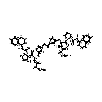 CN[C@@H](C)C(=O)N[C@@H](Cc1cn(CCn2cc(C[C@H](NC(=O)[C@H](C)NC)C(=O)N3CCC[C@H]3C(=O)N[C@@H]3CCCc4ccccc43)nn2)nn1)C(=O)N1CCC[C@H]1C(=O)N[C@@H]1CCCc2ccccc21